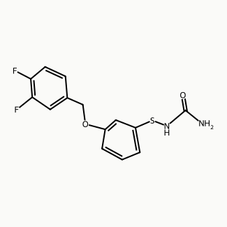 NC(=O)NSc1cccc(OCc2ccc(F)c(F)c2)c1